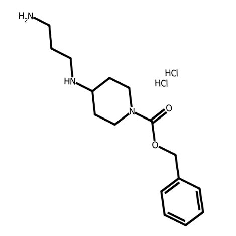 Cl.Cl.NCCCNC1CCN(C(=O)OCc2ccccc2)CC1